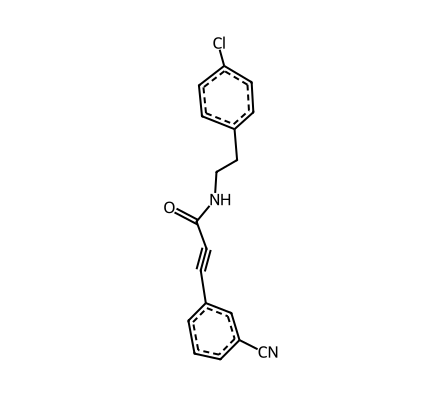 N#Cc1cccc(C#CC(=O)NCCc2ccc(Cl)cc2)c1